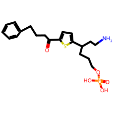 NCCC(CCCOP(=O)(O)O)c1ccc(C(=O)CCCc2ccccc2)s1